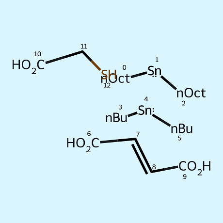 CCCCCCC[CH2][Sn][CH2]CCCCCCC.CCC[CH2][Sn][CH2]CCC.O=C(O)C=CC(=O)O.O=C(O)CS